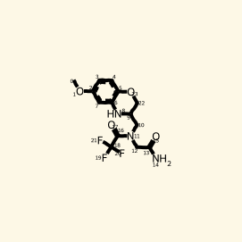 COc1ccc2c(c1)NC(CN(CC(N)=O)C(=O)C(F)(F)F)CO2